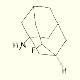 NC12CC3CC(C1)C(F)[C@@H](C3)C2